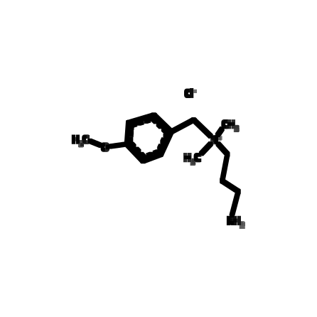 COc1ccc(C[N+](C)(C)CCCN)cc1.[Cl-]